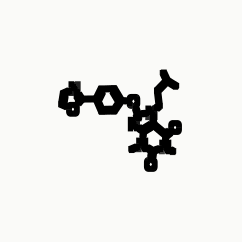 CC(C)CCn1c(Oc2ccc(-c3ncco3)cc2)nc2c1c(=O)n(C)c(=O)n2C